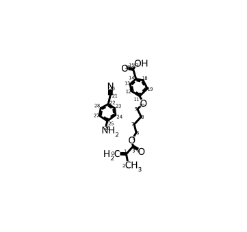 C=C(C)C(=O)OCCCCOc1ccc(C(=O)O)cc1.N#Cc1ccc(N)cc1